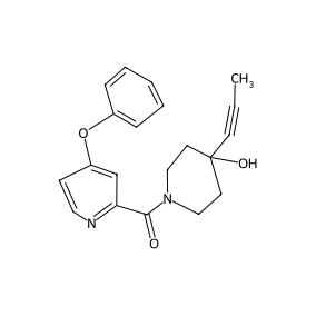 CC#CC1(O)CCN(C(=O)c2cc(Oc3ccccc3)ccn2)CC1